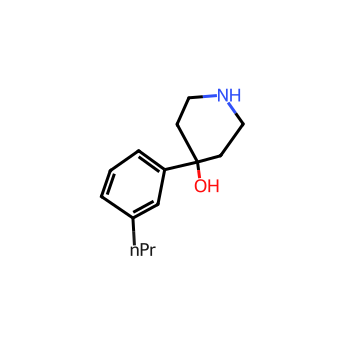 CCCc1cccc(C2(O)CCNCC2)c1